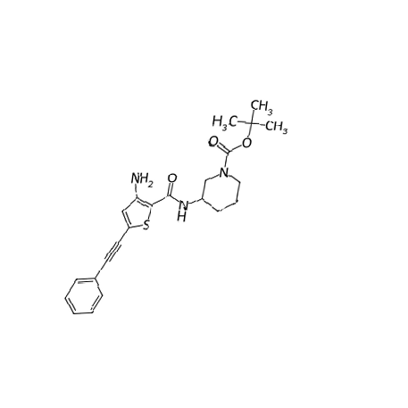 CC(C)(C)OC(=O)N1CCCC(NC(=O)c2sc(C#Cc3ccccc3)cc2N)C1